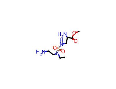 CCN(CCN)S(=O)(=O)NCC(N)C(=O)OC